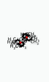 CC1(C)CC(O[Si](OC2CC(C)(C)NC(C)(C)C2)(c2ccccc2)c2ccccc2)CC(C)(C)N1